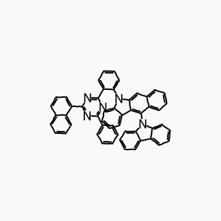 c1ccc(-c2nc(-c3ccccc3-n3c4ccccc4c4c(-n5c6ccccc6c6ccccc65)c5ccccc5cc43)nc(-c3cccc4ccccc34)n2)cc1